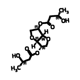 C[C@@H](O)CC(=O)O[C@H]1CO[C@H]2[C@@H]1OC[C@H]2OC(=O)C[C@@H](C)O